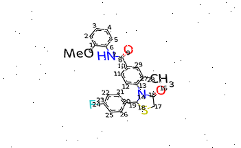 COc1ccccc1NC(=O)c1ccc(N2C(=O)CSC2c2ccc(F)cc2)c(C)c1